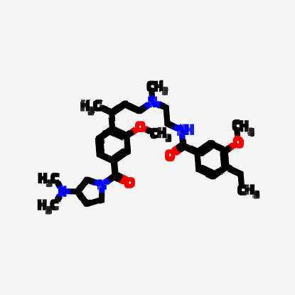 CCc1ccc(C(=O)NCCN(C)CCC(C)c2ccc(C(=O)N3CCC(N(C)C)C3)cc2OC)cc1OC